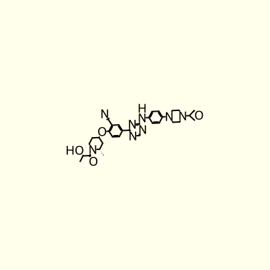 CC(O)C(=O)N1CC[C@H](Oc2ccc(-c3ncnc(Nc4ccc(N5CCN(C6COC6)CC5)cc4)n3)cc2C#N)C[C@@H]1C